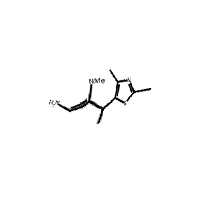 CN/C(=C\N)C(C)c1sc(C)nc1C